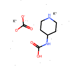 O=C(O)NC1CCNCC1.O=C([O-])[O-].[K+].[K+]